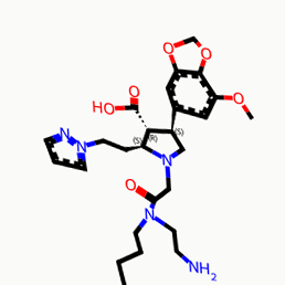 CCCCN(CCN)C(=O)CN1C[C@H](c2cc(OC)c3c(c2)OCO3)[C@@H](C(=O)O)[C@@H]1CCn1cccn1